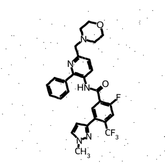 Cn1ccc(-c2cc(C(=O)Nc3ccc(CN4CCOCC4)nc3-c3ccccc3)c(F)cc2C(F)(F)F)n1